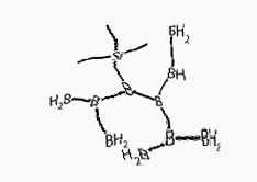 BBB(B(B)B)B(B(B)B)[Si](C)(C)C